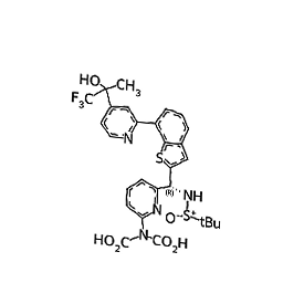 CC(C)(C)[S+]([O-])N[C@H](c1cccc(N(C(=O)O)C(=O)O)n1)c1cc2cccc(-c3cc(C(C)(O)C(F)(F)F)ccn3)c2s1